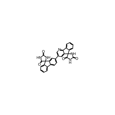 O=C1NC(=O)C2(N1)c1ccccc1-c1ccc(-c3cnc4c(c3)C3(NC(=O)NC3=O)c3ccccc3-4)cc12